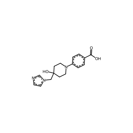 O=C(O)c1ccc(N2CCC(O)(Cn3ccnc3)CC2)cc1